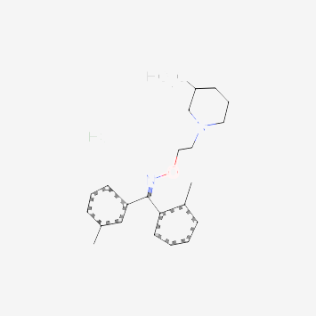 Cc1cccc(/C(=N/OCCN2CCCC(C(=O)O)C2)c2ccccc2C)c1.Cl